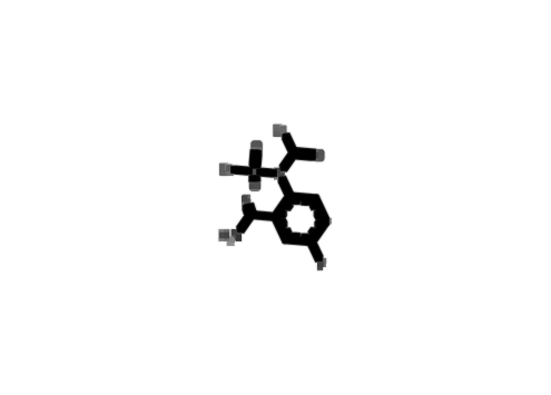 CCC(=O)N(c1c[c]c(F)cc1C(N)=S)S(=O)(=O)CC